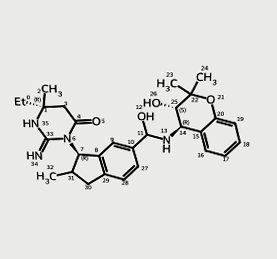 CC[C@]1(C)CC(=O)N([C@H]2c3cc(C(O)N[C@@H]4c5ccccc5OC(C)(C)[C@H]4O)ccc3CC2C)C(=N)N1